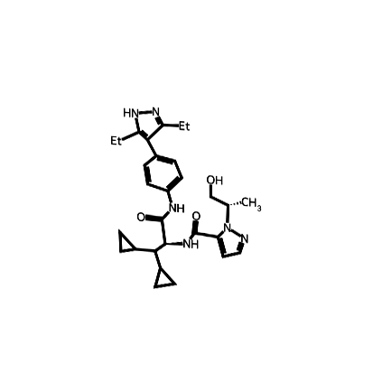 CCc1n[nH]c(CC)c1-c1ccc(NC(=O)[C@@H](NC(=O)c2ccnn2[C@@H](C)CO)C(C2CC2)C2CC2)cc1